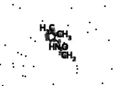 C=CC(=O)NCc1cccc(C)c1C